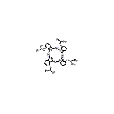 CC(C)C(Oc1cccc2c1C1=NC/2=N\c2[nH]c(c3cccc(OC(C(C)C)C(C)C)c23)/N=C2\NC(/N=c3\[nH]/c(c4cccc(OC(C(C)C)C(C)C)c34)=N\1)c1cccc(OC(C(C)C)C(C)C)c12)C(C)C